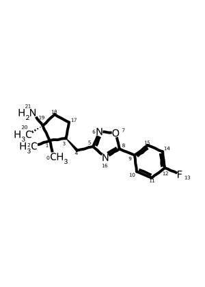 CC1(C)[C@H](Cc2noc(-c3ccc(F)cc3)n2)CC[C@]1(C)N